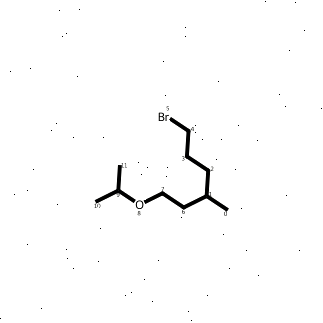 CC(CCCBr)CCOC(C)C